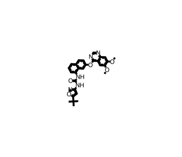 COc1cc2ncnc(Oc3ccc4cccc(NC(=O)Nc5cc(C(C)(C)C)on5)c4c3)c2cc1OC